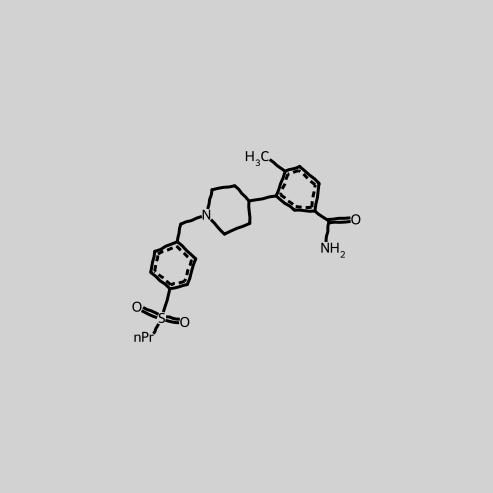 CCCS(=O)(=O)c1ccc(CN2CCC(c3cc(C(N)=O)ccc3C)CC2)cc1